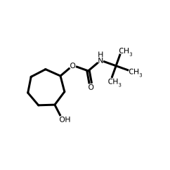 CC(C)(C)NC(=O)OC1CCCCC(O)C1